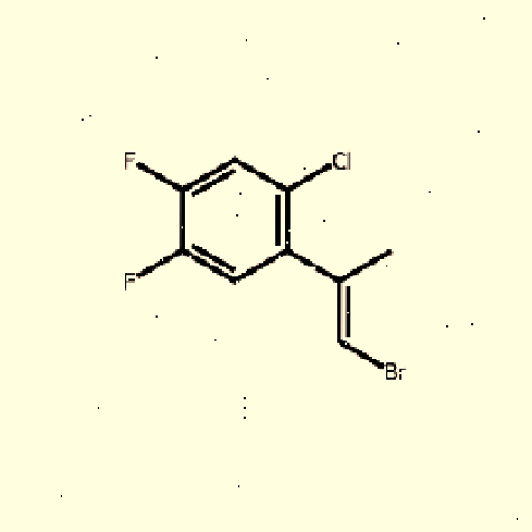 C/C(=C\Br)c1cc(F)c(F)cc1Cl